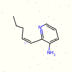 CCC/C=C\c1ncccc1N